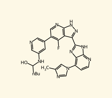 CCCCC(O)Nc1cncc(-c2cnc3[nH]nc(-c4nc5c(-n6cnc(C)c6)ccnc5[nH]4)c3c2F)c1